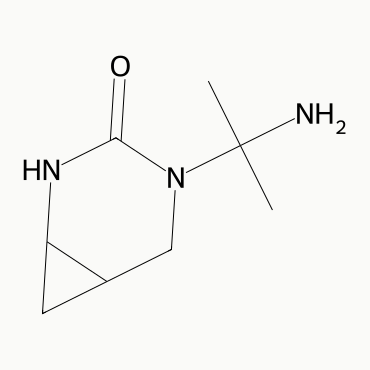 CC(C)(N)N1CC2CC2NC1=O